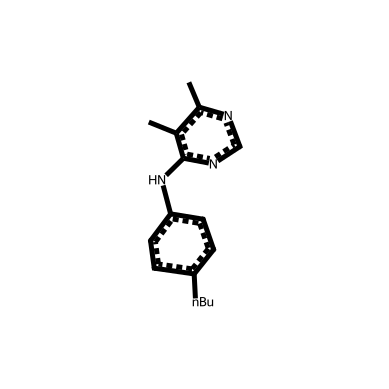 CCCCc1ccc(Nc2ncnc(C)c2C)cc1